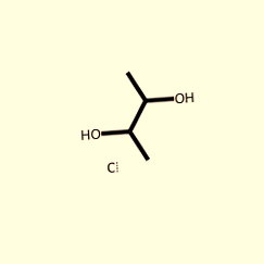 CC(O)C(C)O.[C]